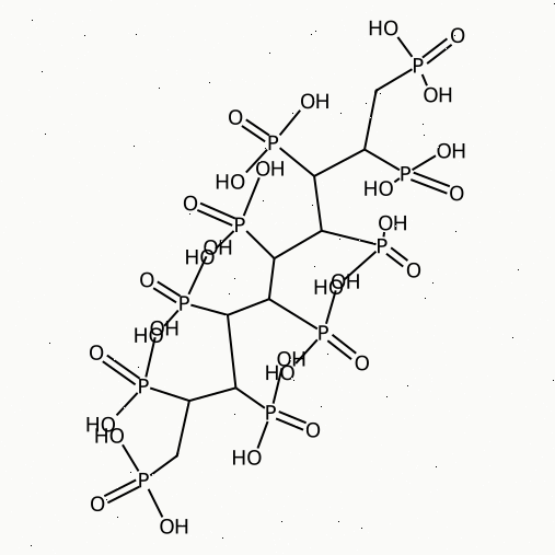 O=P(O)(O)CC(C(C(C(C(C(C(C(CP(=O)(O)O)P(=O)(O)O)P(=O)(O)O)P(=O)(O)O)P(=O)(O)O)P(=O)(O)O)P(=O)(O)O)P(=O)(O)O)P(=O)(O)O